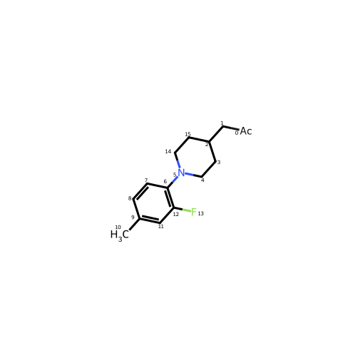 CC(=O)CC1CCN(c2ccc(C)cc2F)CC1